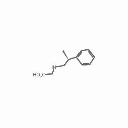 C[C@H](CNCC(=O)O)c1ccccc1